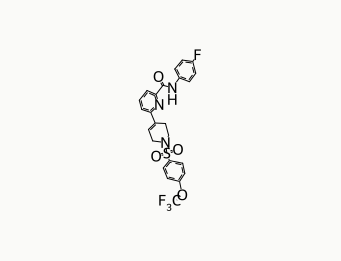 O=C(Nc1ccc(F)cc1)c1cccc(C2=CCN(S(=O)(=O)c3ccc(OC(F)(F)F)cc3)CC2)n1